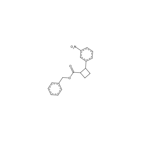 O=C(OCc1ccccc1)C1CCC1c1cccc([N+](=O)[O-])c1